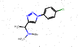 C[C@@H](c1cn(-c2ccc(Cl)cc2)nn1)N(C(=O)O)C(C)(C)C